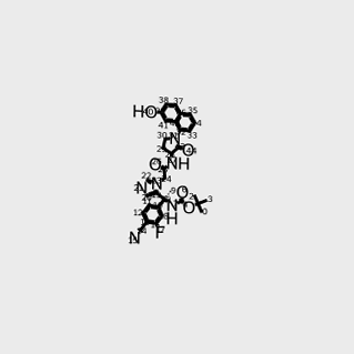 CC(C)(C)OC(=O)N[C@@](C)(c1ccc(C#N)c(F)c1)c1cncn1CC(=O)NC1CCN(c2cccc3ccc(O)cc23)C1=O